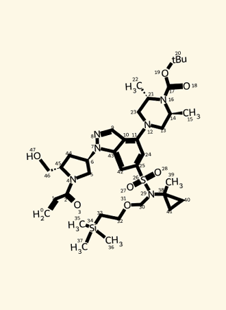 C=CC(=O)N1C[C@H](n2ncc3c(N4C[C@H](C)N(C(=O)OC(C)(C)C)[C@@H](C)C4)cc(S(=O)(=O)N(COCC[Si](C)(C)C)C4(C)CC4)cc32)C[C@H]1CO